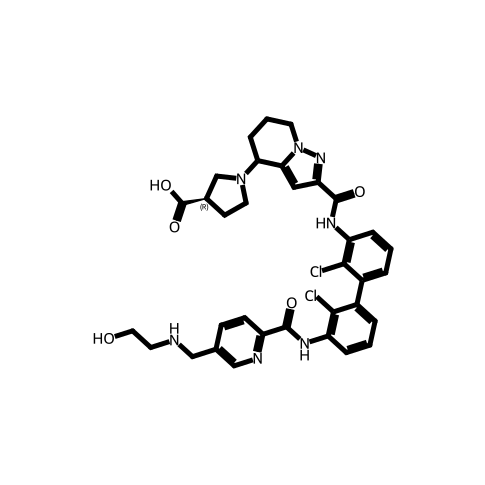 O=C(Nc1cccc(-c2cccc(NC(=O)c3cc4n(n3)CCCC4N3CC[C@@H](C(=O)O)C3)c2Cl)c1Cl)c1ccc(CNCCO)cn1